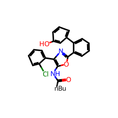 CCCCC(=O)Nc1oc(-c2ccccc2-c2cccc(O)c2)nc1-c1ccccc1Cl